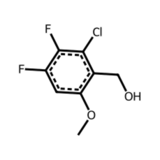 COc1cc(F)c(F)c(Cl)c1CO